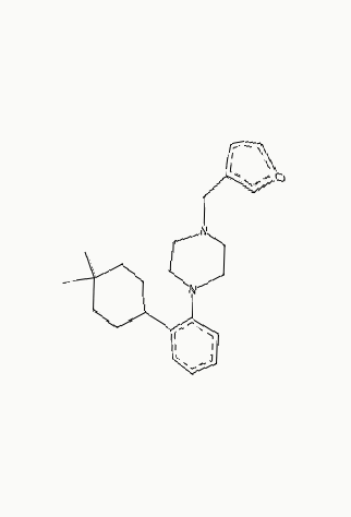 CC1(C)CCC(c2ccccc2N2CCN(Cc3ccoc3)CC2)CC1